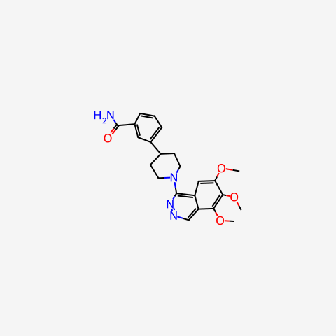 COc1cc2c(N3CCC(c4cccc(C(N)=O)c4)CC3)nncc2c(OC)c1OC